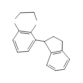 [c]1cccc2c1CCC2c1cccc2c1OCCO2